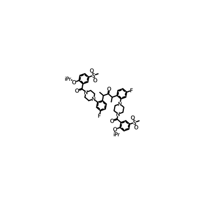 CC(C)Oc1ccc(S(C)(=O)=O)cc1C(=O)N1CCN(c2cc(F)ccc2C(C)C(=O)C(C)c2ccc(F)cc2N2CCN(C(=O)c3cc(S(C)(=O)=O)ccc3OC(C)C)CC2)CC1